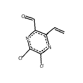 C=Cc1nc(Cl)c(Cl)nc1C=O